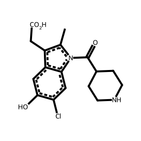 Cc1c(CC(=O)O)c2cc(O)c(Cl)cc2n1C(=O)C1CCNCC1